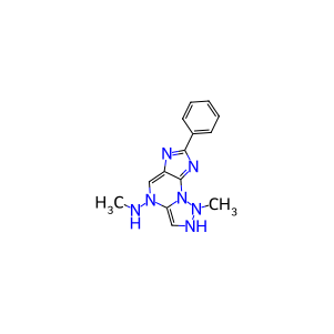 CNN1C=C2N=C(c3ccccc3)N=C2N2C1=CNN2C